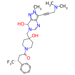 CN(C)CC#Cc1c2c(nn1C)C(O)N(CC1(O)CCN(C(=O)C[C@H](c3ccccc3)C(F)(F)F)CC1)C=N2